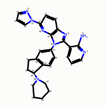 Nc1ncccc1-c1nc2ccc(-n3cccn3)nc2n1-c1ccc2c(c1)CC[C@@H]2N1CCCCC1